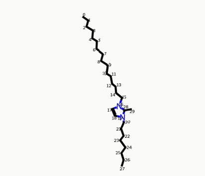 CCCCCCCCCCCCCCCCN1C=CN(CCCCCCCC)C1C